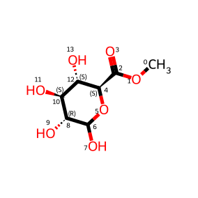 COC(=O)[C@H]1OC(O)[C@H](O)[C@@H](O)[C@@H]1O